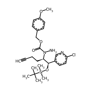 C#CCC[C@H]([C@H](O[Si](C)(C)C(C)(C)C)c1ccc(Cl)nc1)N(N)C(=O)OCc1ccc(OC)cc1